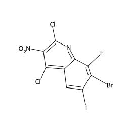 O=[N+]([O-])c1c(Cl)nc2c(F)c(Br)c(I)cc2c1Cl